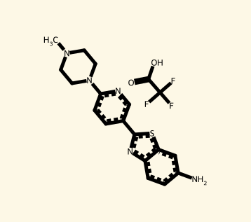 CN1CCN(c2ccc(-c3nc4ccc(N)cc4s3)cn2)CC1.O=C(O)C(F)(F)F